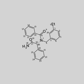 CCc1cccc(CN(C(=O)c2ccccc2)[C@@H](C(N)=O)c2ccccc2)c1